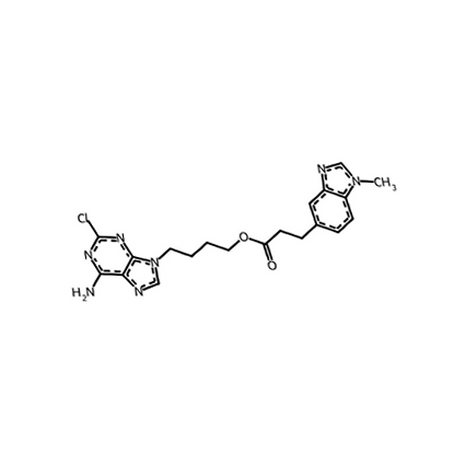 Cn1cnc2cc(CCC(=O)OCCCCn3cnc4c(N)nc(Cl)nc43)ccc21